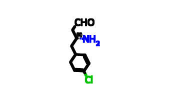 N[C@@H](CC=O)CC1C=CC(Cl)=CC1